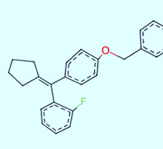 Fc1ccccc1C(=C1CCCC1)c1ccc(OCc2ccccc2)cc1